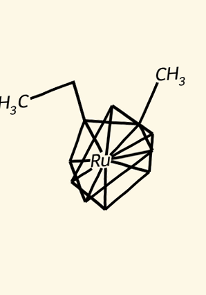 CC[C]12[CH]3[CH]4[CH]5[C]1(C)[Ru]45321678[CH]2[CH]1[CH]6[CH]7[CH]28